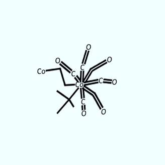 C[C](C)(C)[Co](=[C]=O)(=[C]=O)(=[C]=O)(=[C]=O)(=[C]=O)(=[C]=O)[CH2][CH2][Co]